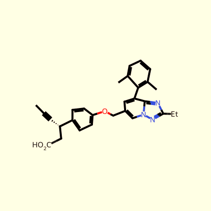 CC#C[C@@H](CC(=O)O)c1ccc(OCc2cc(-c3c(C)cccc3C)c3nc(CC)nn3c2)cc1